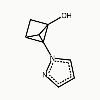 OC12CC(C1)C2n1cccn1